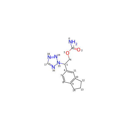 NC(=O)OCC(c1ccc2c(c1)CCC2)n1ncnn1